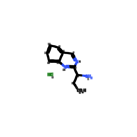 Cl.NC(CC(=O)O)c1ncc2ccccc2n1